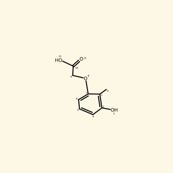 Cc1c(O)cccc1OCC(=O)O